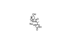 C[C@H](NC(=O)[C@H](C)NC(=O)[C@H](CCO)N[PH](C)=O)C(=O)O.[Na]